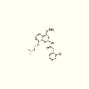 CC(C)CCOc1nccc2c(SN)cc(NC(=O)Cc3ccccc3Cl)cc12